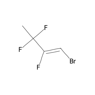 CC(F)(F)/C(F)=C/Br